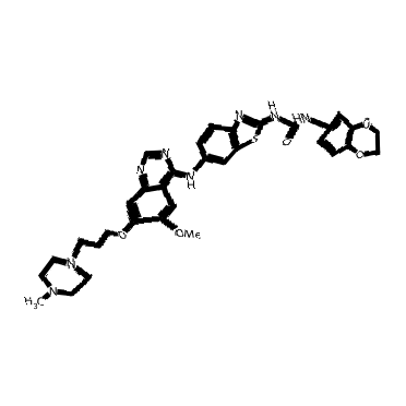 COc1cc2c(Nc3ccc4nc(NC(=O)Nc5ccc6c(c5)OCCO6)sc4c3)ncnc2cc1OCCCN1CCN(C)CC1